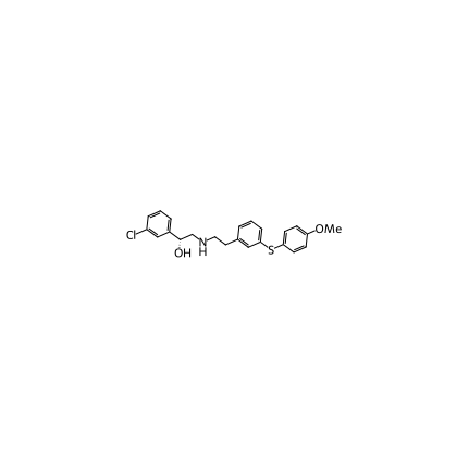 COc1ccc(Sc2cccc(CCNC[C@H](O)c3cccc(Cl)c3)c2)cc1